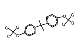 CC(C)(c1ccc(OC(Cl)(Cl)Cl)cc1)c1ccc(OC(Cl)(Cl)Cl)cc1